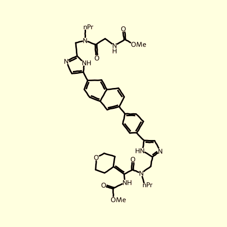 CCCN(Cc1ncc(-c2ccc3cc(-c4ccc(-c5cnc(CN(CCC)C(=O)C(NC(=O)OC)=C6CCOCC6)[nH]5)cc4)ccc3c2)[nH]1)C(=O)CNC(=O)OC